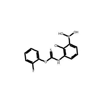 OB(O)c1cccc(NC(=S)Oc2ccccc2F)c1Cl